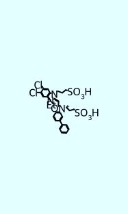 CCN1/C(=C\c2oc3ccc(-c4ccccc4)cc3[n+]2CCCS(=O)(=O)O)N(CCCS(=O)(=O)O)c2cc(Cl)c(Cl)cc21